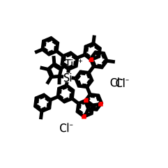 CC1=C(C)C(C)([Si](c2cc(-c3cccc(C)c3)cc(-c3cccc(C)c3)c2)(c2cc(-c3cccc(C)c3)cc(-c3cccc(C)c3)c2)c2cc(-c3cccc(C)c3)cc(-c3cccc(C)c3)c2)[C]([Ti+3])=C1C.[Cl-].[Cl-].[Cl-]